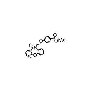 COC(=O)c1ccc(OCCN2C(=O)c3cccnc3Oc3ccccc32)cc1